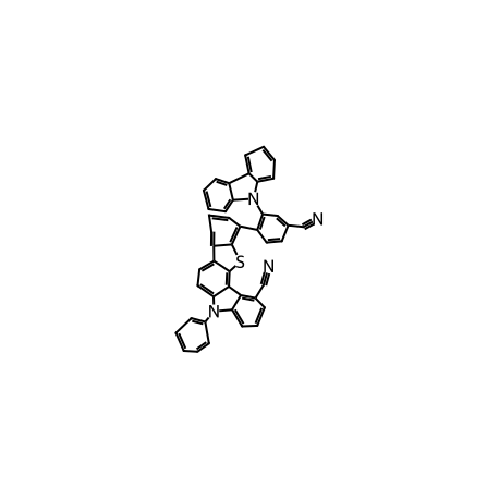 N#Cc1ccc(-c2cccc3c2sc2c3ccc3c2c2c(C#N)cccc2n3-c2ccccc2)c(-n2c3ccccc3c3ccccc32)c1